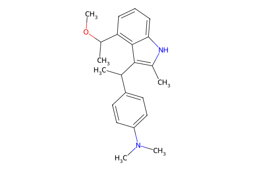 COC(C)c1cccc2[nH]c(C)c(C(C)c3ccc(N(C)C)cc3)c12